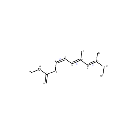 C=C(C\C=C/C=C(C)/N=C(\C)OC)OC